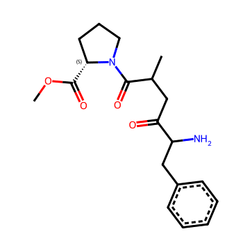 COC(=O)[C@@H]1CCCN1C(=O)C(C)CC(=O)C(N)Cc1ccccc1